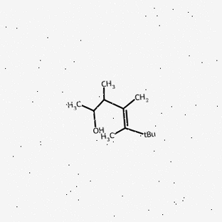 C/C(=C(/C)C(C)(C)C)C(C)C(C)O